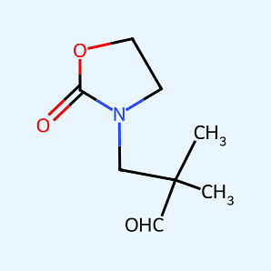 CC(C)(C=O)CN1CCOC1=O